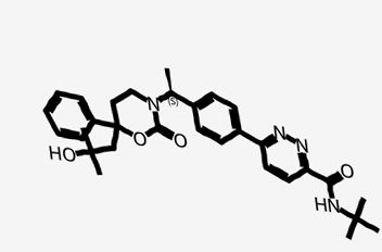 C[C@@H](c1ccc(-c2ccc(C(=O)NC(C)(C)C)nn2)cc1)N1CCC(CC(C)(C)O)(c2ccccc2)OC1=O